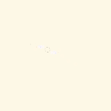 CCCC(=O)NCc1ccc(CNC(=O)COCCOCCOCI)cc1